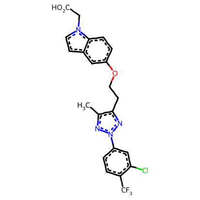 Cc1nn(-c2ccc(C(F)(F)F)c(Cl)c2)nc1CCOc1ccc2c(ccn2CC(=O)O)c1